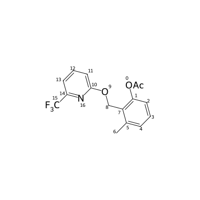 CC(=O)Oc1cccc(C)c1COc1cccc(C(F)(F)F)n1